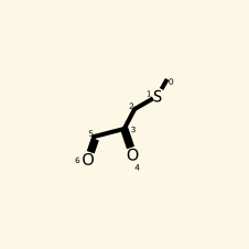 CSCC(=O)C=O